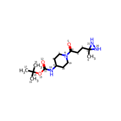 CC1(CCC(=O)N2CCC(NC(=O)OC(C)(C)C)CC2)NN1